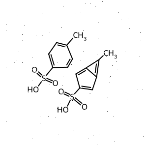 Cc1c2cc(S(=O)(=O)O)cc1-2.Cc1ccc(S(=O)(=O)O)cc1